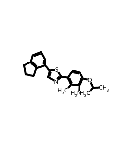 Cc1c(-c2ncc(-c3cccc4c3CCC4)s2)ccc(OC(C)C)c1N